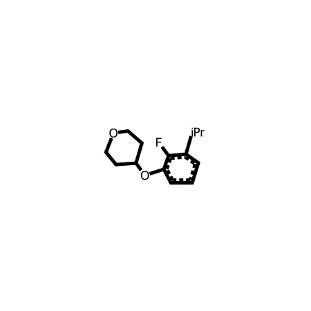 CC(C)c1cccc(OC2CCOCC2)c1F